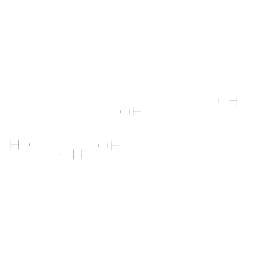 CCCCCCCCCCC(O)CCC(O)CCCC(O)CCC